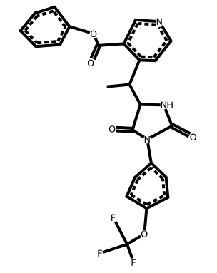 CC(c1ccncc1C(=O)Oc1ccccc1)C1NC(=O)N(c2ccc(OC(F)(F)F)cc2)C1=O